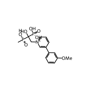 COc1cccc(-c2ccc[n+](CC(O)(P(C)(=O)O)P(=O)(O)O)c2)c1